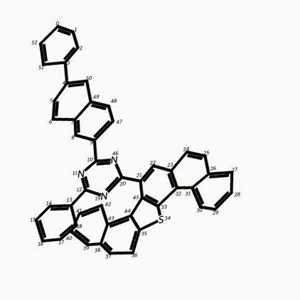 c1ccc(-c2ccc3cc(-c4nc(-c5ccccc5)nc(-c5cc6ccc7ccccc7c6c6sc7ccc8ccccc8c7c56)n4)ccc3c2)cc1